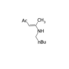 CCCCCNC(C)=CC(C)=O